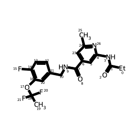 CCC(=O)Nc1cc(C(=O)NCc2ccc(F)c(OC(C)(F)F)c2)cc(C)n1